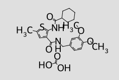 COc1ccc(CNC(=O)c2cc(C)sc2NC(=O)C2CCCCC2)cc1OC.O=C(O)O